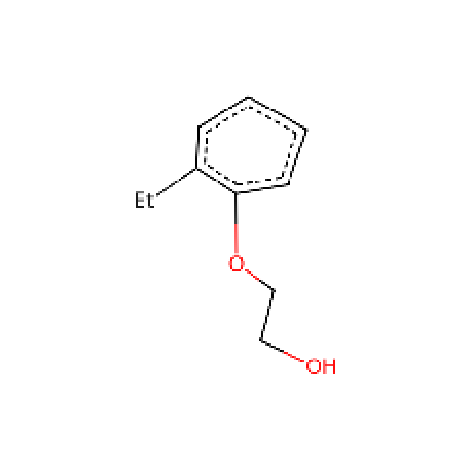 CCc1ccccc1OCCO